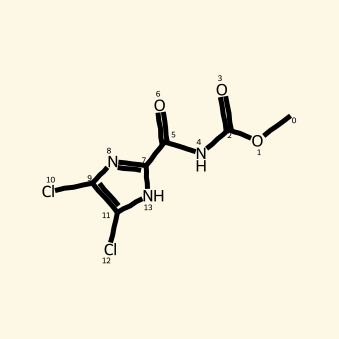 COC(=O)NC(=O)c1nc(Cl)c(Cl)[nH]1